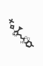 Cc1ccc(NC(=O)CCc2noc([C@H]3C[C@@H](CC(C)(C)C)C3)c2C2CC2)c(Cl)c1